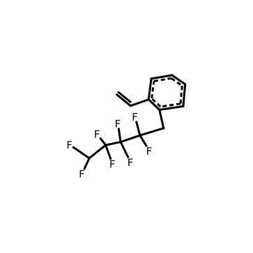 C=Cc1ccccc1CC(F)(F)C(F)(F)C(F)(F)C(F)F